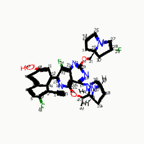 C#Cc1c(F)ccc2cc(O)cc(-c3nc4c5c(nc(OC[C@@]67CCCN6C[C@H](F)C7)nc5c3F)N3C[C@H]5CC[C@H](N5)[C@H]3[C@@H](C)O4)c12